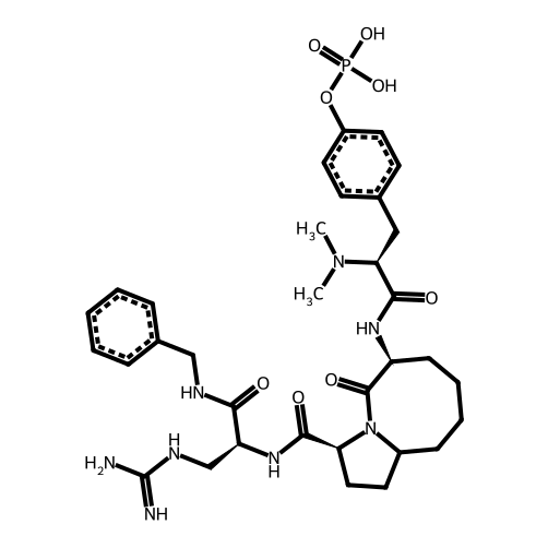 CN(C)[C@@H](Cc1ccc(OP(=O)(O)O)cc1)C(=O)N[C@H]1CCCCC2CC[C@@H](C(=O)N[C@@H](CNC(=N)N)C(=O)NCc3ccccc3)N2C1=O